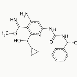 COC(=N)c1c(N)cc(NC(=O)N[C@H](C)c2ccccc2)nc1C(O)C1CC1